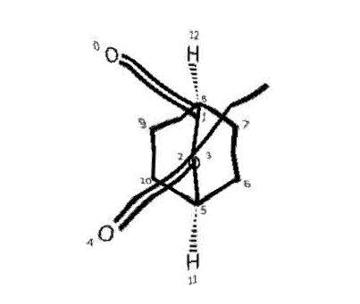 O=C1OC(=O)[C@H]2CC[C@@H]1CC2